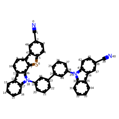 N#Cc1ccc2sc3c(ccc4c5ccccc5n(-c5cccc(-c6cccc(-n7c8ccccc8c8cc(C#N)ccc87)c6)c5)c43)c2c1